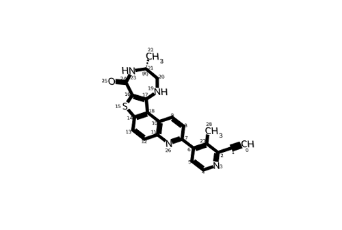 C#Cc1nccc(-c2ccc3c(ccc4sc5c(c43)NC[C@@H](C)NC5=O)n2)c1C